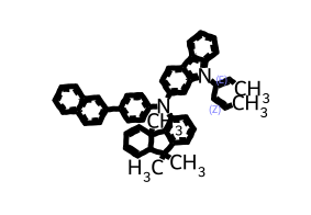 C/C=C\C(=C/C)n1c2ccccc2c2ccc(N(c3ccc(-c4ccc5ccccc5c4)cc3)c3cccc4c3C3(C)C=CC=CC3C4(C)C)cc21